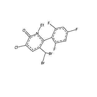 CCn1c(-c2c(F)cc(F)cc2F)c(C(Br)Br)cc(Cl)c1=O